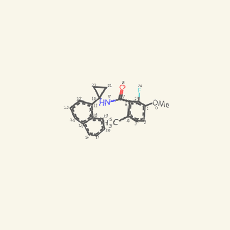 COc1ccc(C)c(C(=O)NC2(c3cccc4ccccc34)CC2)c1F